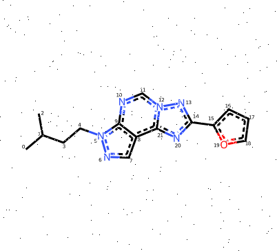 CC(C)CCn1ncc2c1ncn1nc(-c3ccco3)nc21